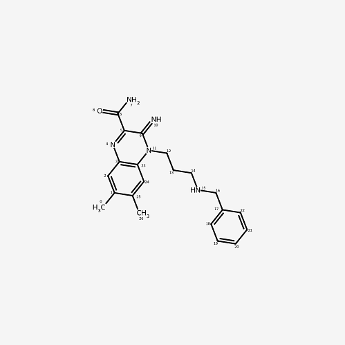 Cc1cc2nc(C(N)=O)c(=N)n(CCCNCc3ccccc3)c2cc1C